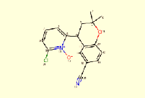 CC1(C)CC(c2cccc(Cl)[n+]2[O-])c2cc(C#N)ccc2O1